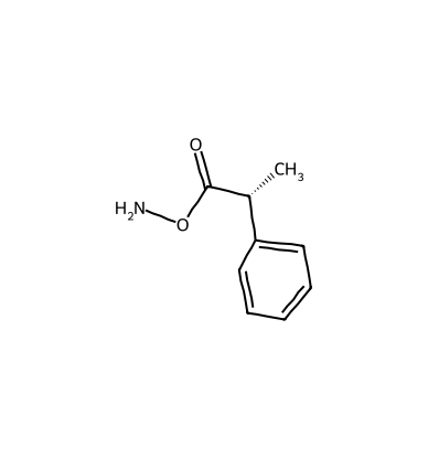 C[C@@H](C(=O)ON)c1ccccc1